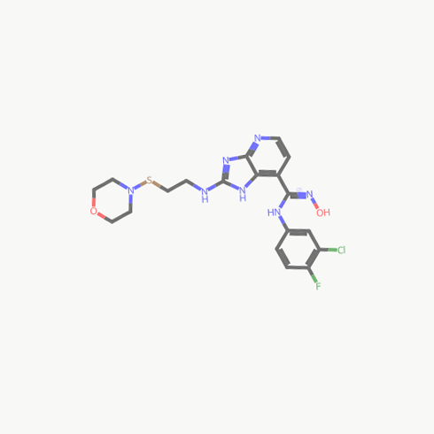 O/N=C(\Nc1ccc(F)c(Cl)c1)c1ccnc2nc(NCCSN3CCOCC3)[nH]c12